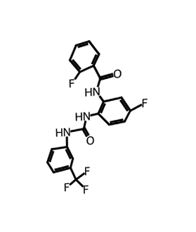 O=C(Nc1cccc(C(F)(F)F)c1)Nc1ccc(F)cc1NC(=O)c1ccccc1F